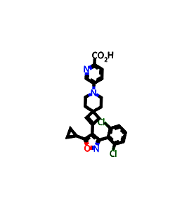 O=C(O)c1ccc(N2CCC3(C=C(c4c(-c5c(Cl)cccc5Cl)noc4C4CC4)C3)CC2)cn1